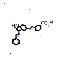 O=C(O)c1cccc(/C=C/c2ccc3[nH]nc(/C=C/c4ccccc4)c3c2)c1